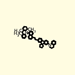 CC1CC=CC2=C1N(c1cccc3c(/C=C/c4ccc5c(c4)C4(CCCC4)c4cc(N6CCCc7ccccc76)ccc4-5)cccc13)c1ccccc1C2(C)C